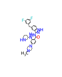 CN1CCN(c2ccc(C(=O)Nc3n[nH]c4ccc(Cc5cc(F)cc(F)c5)cc34)c(NC3CCCNC3)c2)CC1